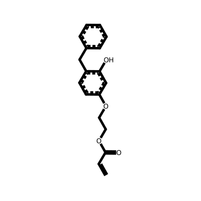 C=CC(=O)OCCOc1ccc(Cc2ccccc2)c(O)c1